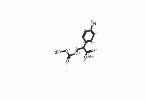 COC(=O)C(CNC(=O)OC(C)(C)C)c1ccc(C#N)cc1